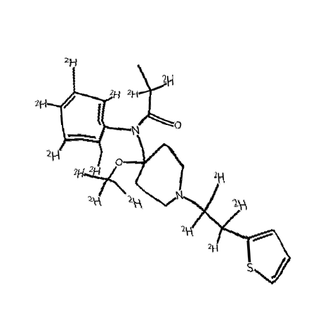 [2H]c1c([2H])c([2H])c(N(C(=O)C([2H])([2H])C)C2(OC([2H])([2H])[2H])CCN(C([2H])([2H])C([2H])([2H])c3cccs3)CC2)c([2H])c1[2H]